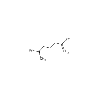 C=C(CCCN(C)C(C)C)C(C)C